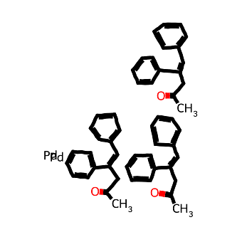 CC(=O)CC(=Cc1ccccc1)c1ccccc1.CC(=O)CC(=Cc1ccccc1)c1ccccc1.CC(=O)CC(=Cc1ccccc1)c1ccccc1.[Pd].[Pd]